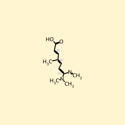 C=N\C(=C/C=C(C)/C=C/C(=O)O)N(C)C